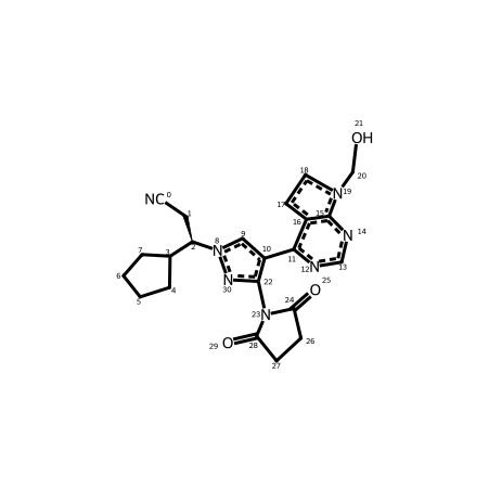 N#CC[C@H](C1CCCC1)n1cc(-c2ncnc3c2ccn3CO)c(N2C(=O)CCC2=O)n1